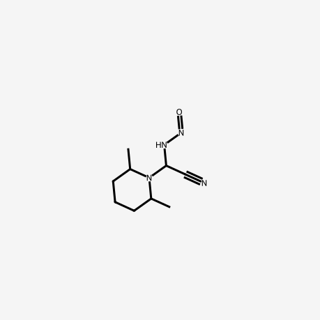 CC1CCCC(C)N1C(C#N)NN=O